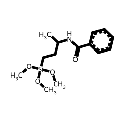 CO[Si](CCC(C)NC(=O)c1ccccc1)(OC)OC